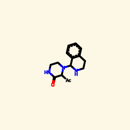 CC(=O)C1C(=O)NCCN1C1NCCc2ccccc21